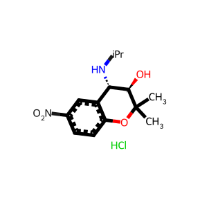 CC(C)N[C@H]1c2cc([N+](=O)[O-])ccc2OC(C)(C)[C@@H]1O.Cl